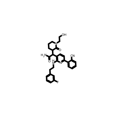 N#Cc1ccccc1-c1ccc(C(C(N)=O)C2CCCN(CCO)C2=O)c(NCCc2cccc(F)c2)n1